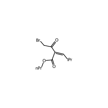 CCCOC(=O)/C(=C\C(C)C)C(=O)CBr